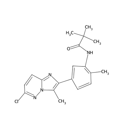 Cc1ccc(-c2nc3ccc(Cl)nn3c2C)cc1NC(=O)C(C)(C)C